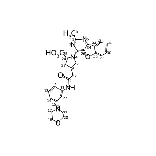 Cc1nc(N2C[C@@H](CC(=O)Nc3cccc(N4CCOCC4)c3)C[C@H]2C(=O)O)c2oc3ccccc3c2n1